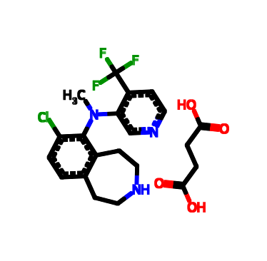 CN(c1cnccc1C(F)(F)F)c1c(Cl)ccc2c1CCNCC2.O=C(O)CCC(=O)O